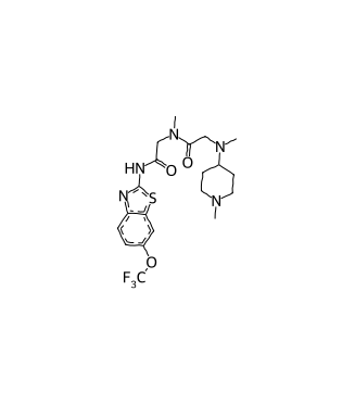 CN1CCC(N(C)CC(=O)N(C)CC(=O)Nc2nc3ccc(OC(F)(F)F)cc3s2)CC1